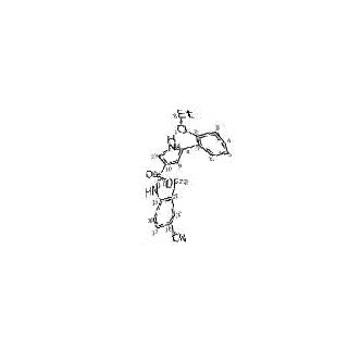 CCOc1ccccc1-c1cc(S(=O)(=O)Nc2ccc(C#N)cc2F)c[nH]1